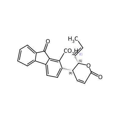 C/C=C/[C@@H]1OC(=O)C=C[C@@H]1c1ccc2c(c1C(=O)O)C(=O)c1ccccc1-2